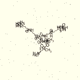 Cc1c(-c2cccc(S(=O)(=O)N(C)C)c2)c2cc(C(=O)Nc3cc(C(=O)NCCCCCNC(=O)CCCC[C@@H]4SC[C@@H]5NC(=O)N[C@@H]54)cc(C(=O)NCCCCCNC(=O)CCCC[C@@H]4SC[C@@H]5NC(=O)N[C@@H]54)c3)ccc2n1C/C(F)=C/CN.Cl